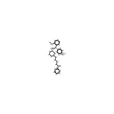 COc1ccccc1CN[C@H]1CCCN(CCCCNc2ncccn2)[C@H]1c1ccccc1.Cl